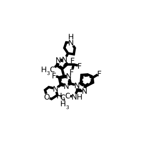 CNc1nc2cc(F)ccc2n1-c1nc(-c2c(C)nn(C3CCNCC3)c2C(F)(F)F)c(F)c(N2CCOC[C@H]2C)n1